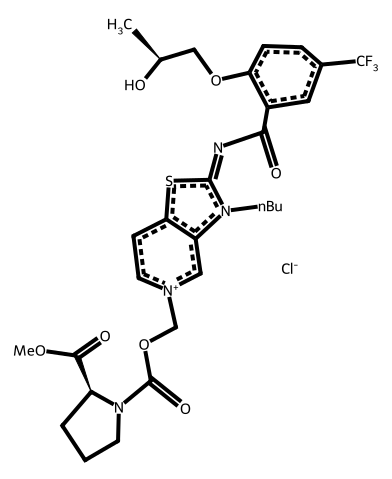 CCCCn1c(=NC(=O)c2cc(C(F)(F)F)ccc2OC[C@H](C)O)sc2cc[n+](COC(=O)N3CCC[C@H]3C(=O)OC)cc21.[Cl-]